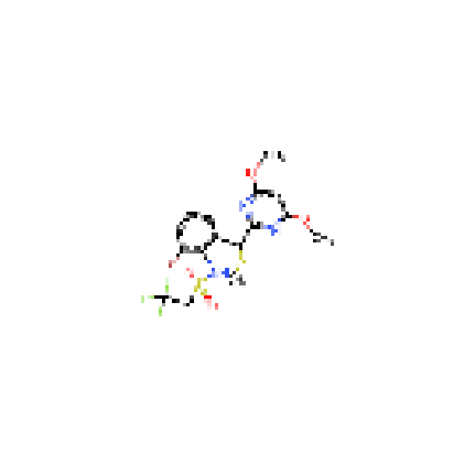 COc1cc(OC)nc(C(SC)c2cccc(Br)c2NS(=O)(=O)CC(F)(F)F)n1